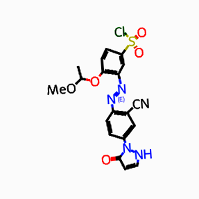 COC(C)Oc1ccc(S(=O)(=O)Cl)cc1/N=N/c1ccc(-n2[nH]ccc2=O)cc1C#N